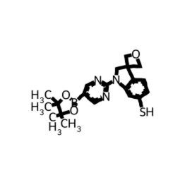 CC1(C)OB(c2cnc(N3CC4(COC4)c4ccc(S)cc43)nc2)OC1(C)C